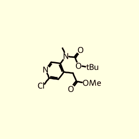 COC(=O)Cc1cc(Cl)ncc1N(C)C(=O)OC(C)(C)C